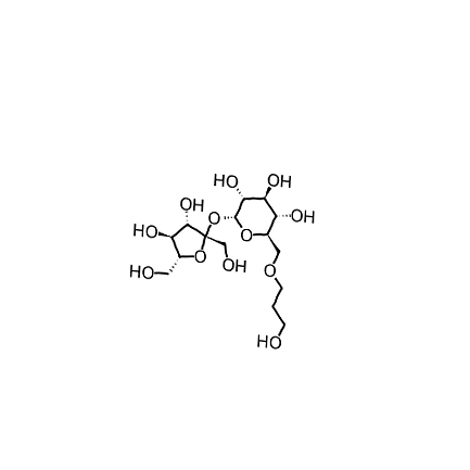 OCCCOC[C@H]1O[C@H](O[C@]2(CO)O[C@H](CO)[C@@H](O)[C@@H]2O)[C@H](O)[C@@H](O)[C@@H]1O